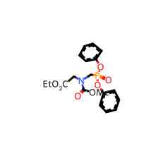 CCOC(=O)CN(CP(=O)(Oc1ccccc1)Oc1ccccc1)C(=O)OC